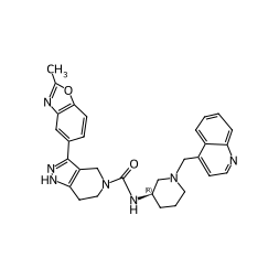 Cc1nc2cc(-c3n[nH]c4c3CN(C(=O)N[C@@H]3CCCN(Cc5ccnc6ccccc56)C3)CC4)ccc2o1